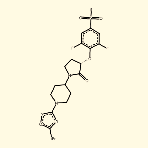 CC(C)c1nc(N2CCC(N3CC[C@H](Oc4c(F)cc(S(C)(=O)=O)cc4F)C3=O)CC2)no1